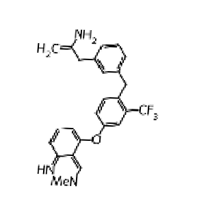 C=C(N)Cc1cccc(Cc2ccc(OC3=CC=CC(=N)/C3=C\NC)cc2C(F)(F)F)c1